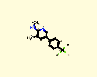 CNc1ncc(-c2ccc(C(F)(F)F)cc2)cc1C